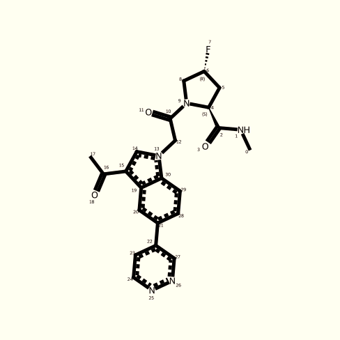 CNC(=O)[C@@H]1C[C@@H](F)CN1C(=O)Cn1cc(C(C)=O)c2cc(-c3ccnnc3)ccc21